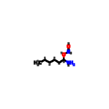 CCCCCC(N)ON=O